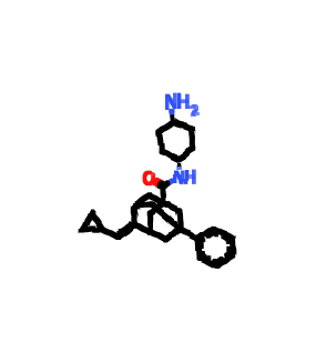 N[C@H]1CC[C@H](NC(=O)C23CC4CC(c5ccccc5)(CC(C2)C4=CC2CC2)C3)CC1